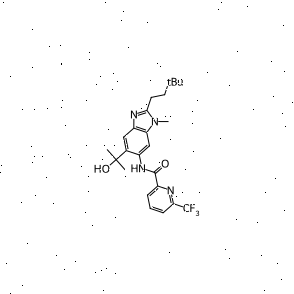 Cn1c(CCC(C)(C)C)nc2cc(C(C)(C)O)c(NC(=O)c3cccc(C(F)(F)F)n3)cc21